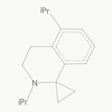 CC(C)c1cccc2c1CCN(C(C)C)C21CC1